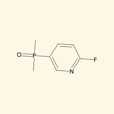 CP(C)(=O)c1ccc(F)nc1